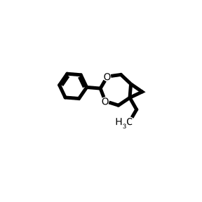 CCC12COC(C3=CC=CCC3)OCC1C2